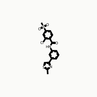 Cc1nc(-c2cccc(NC(=O)c3ccc(S(C)(=O)=O)cc3Cl)c2)cs1